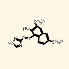 O=S(=O)(O)c1ccc2c(N=Nc3nc[nH]n3)c(O)c(S(=O)(=O)O)cc2c1